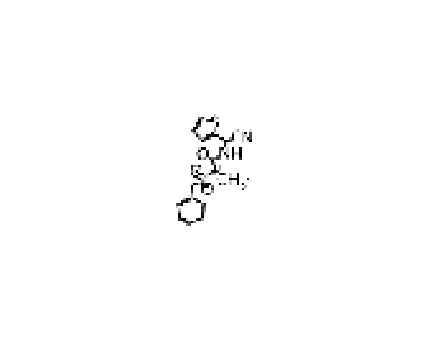 [CH2][C@H](C(=O)NC(C#N)c1cccs1)S(=O)(=O)Cc1ccccc1